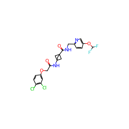 O=C(COc1ccc(Cl)c(Cl)c1)NC12CC(C(=O)NCc3ccc(OC(F)F)cn3)(C1)C2